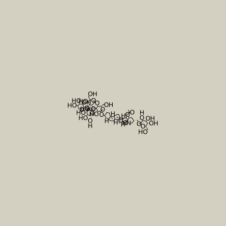 CC(=O)O[C@H]1C[C@H](CO[C@@H]2O[C@H](CO)[C@@H](O)[C@H](O)[C@H]2O)CN[C@@]12O[C@H]1C[C@H]3[C@@H]4CC[C@H]5C[C@@H](O[C@@H]6O[C@H](CO)[C@H](O[C@@H]7O[C@H](CO)[C@@H](O)[C@H](O[C@@H]8OC[C@@H](O)[C@H](O)[C@H]8O)[C@H]7O[C@H]7O[C@H](CO)[C@@H](O)[C@H](O)[C@H]7O)[C@H](O)[C@H]6O)CC[C@]5(C)[C@H]4CC[C@]3(C)[C@H]1[C@H]2C